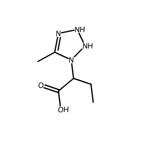 CCC(C(=O)O)N1NNN=C1C